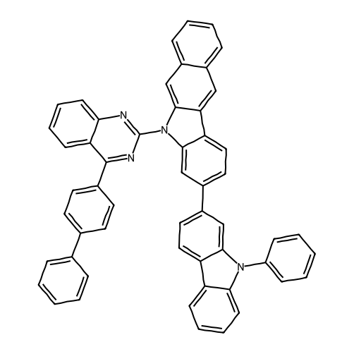 c1ccc(-c2ccc(-c3nc(-n4c5cc(-c6ccc7c8ccccc8n(-c8ccccc8)c7c6)ccc5c5cc6ccccc6cc54)nc4ccccc34)cc2)cc1